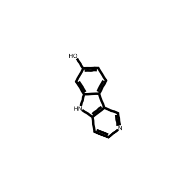 Oc1ccc2c(c1)[nH]c1ccncc12